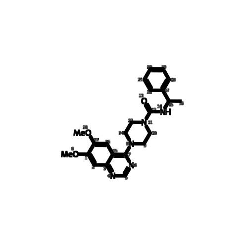 COc1cc2ncnc(N3CCN(C(=O)NC(C)c4ccccc4)CC3)c2cc1OC